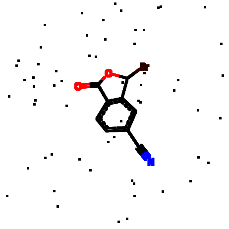 N#Cc1ccc2c(c1)C(Br)OC2=O